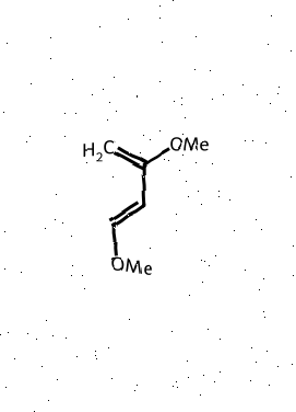 C=C(C=COC)OC